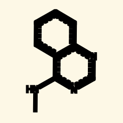 CNc1ncnc2ccccc12